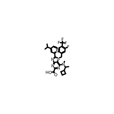 CC(C)c1ccnc(-c2nc3nc(C(=O)O)nc(N(C)C(C)C4CCC4)c3n2Cc2ccc(C(F)(F)F)c(F)c2)c1